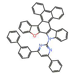 c1ccc(-c2cccc(-c3cc(-c4ccccc4)nc(-n4c5ccccc5c5c6c7ccccc7c7ccccc7c6c6c7ccccc7oc6c54)n3)c2)cc1